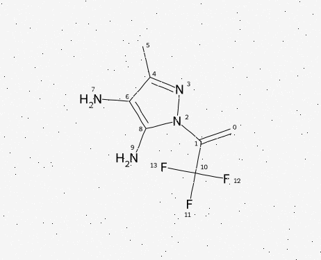 C=C(n1nc(C)c(N)c1N)C(F)(F)F